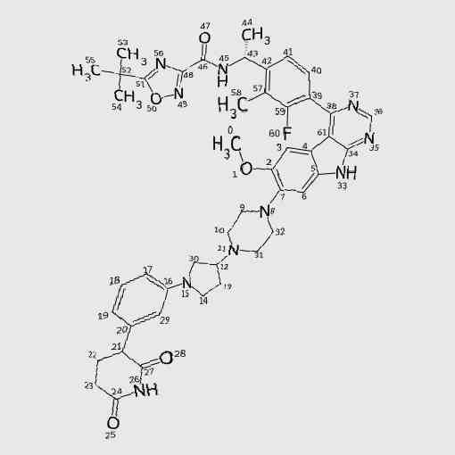 COc1cc2c(cc1N1CCN(C3CCN(c4cccc(C5CCC(=O)NC5=O)c4)C3)CC1)[nH]c1ncnc(-c3ccc([C@@H](C)NC(=O)c4noc(C(C)(C)C)n4)c(C)c3F)c12